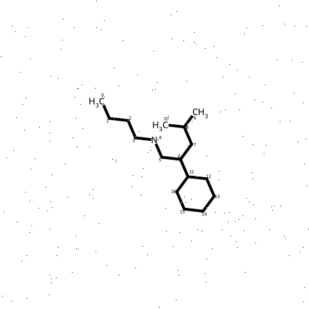 CCCC[N]CC(CC(C)C)C1CCCCC1